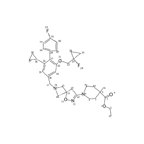 CCOC(=O)C1(C)CCN(C2=NOC3(C2)CN(Cc2cc(OCC4(F)CC4)c(-c4ccc(F)cc4)c(C4CC4)c2)C3)CC1